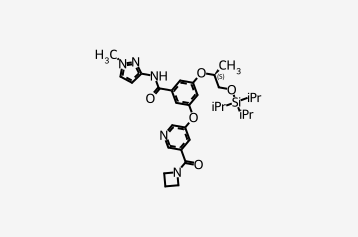 CC(C)[Si](OC[C@H](C)Oc1cc(Oc2cncc(C(=O)N3CCC3)c2)cc(C(=O)Nc2ccn(C)n2)c1)(C(C)C)C(C)C